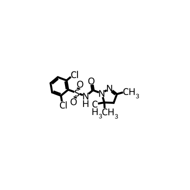 CC1=NN(C(=O)NS(=O)(=O)c2c(Cl)cccc2Cl)C(C)(C)C1